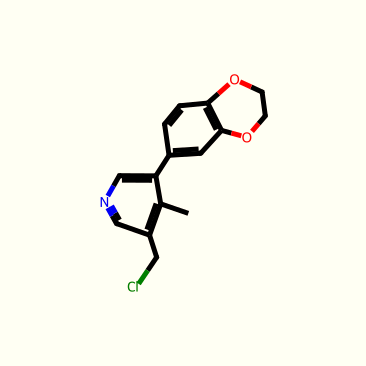 Cc1c(CCl)cncc1-c1ccc2c(c1)OCCO2